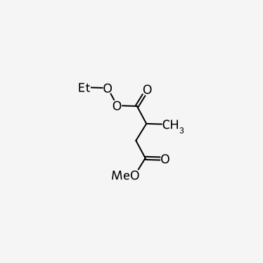 CCOOC(=O)C(C)CC(=O)OC